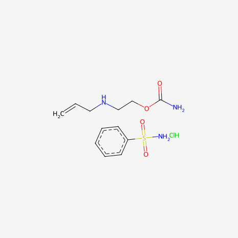 C=CCNCCOC(N)=O.Cl.NS(=O)(=O)c1ccccc1